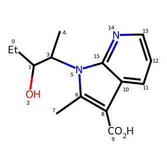 CCC(O)C(C)n1c(C)c(C(=O)O)c2cccnc21